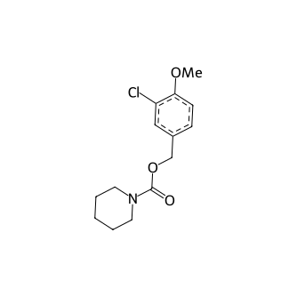 COc1ccc(COC(=O)N2CCCCC2)cc1Cl